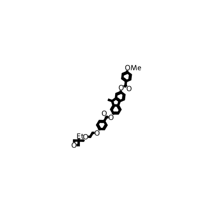 CCC1(COCCOc2ccc(C(=O)Oc3ccc4c(c3)C(C)c3cc(OC(=O)c5ccc(OC)cc5)ccc3-4)cc2)COC1